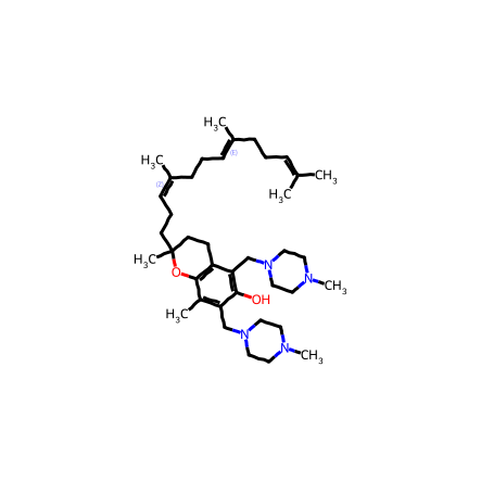 CC(C)=CCC/C(C)=C/CC/C(C)=C\CCC1(C)CCc2c(CN3CCN(C)CC3)c(O)c(CN3CCN(C)CC3)c(C)c2O1